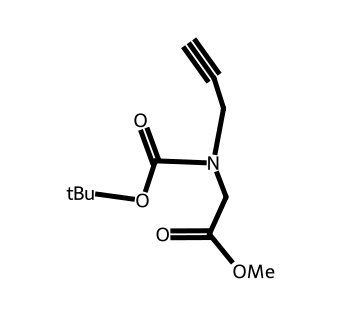 C#CCN(CC(=O)OC)C(=O)OC(C)(C)C